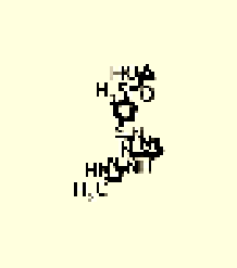 Cc1cc(Nc2nc(Sc3ccc([SiH2]C(=O)C4(O)CC4)cc3)nn3cccc23)n[nH]1